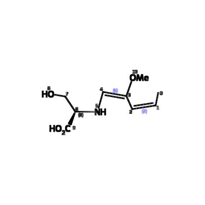 C/C=C\C(=C/N[C@H](CO)C(=O)O)OC